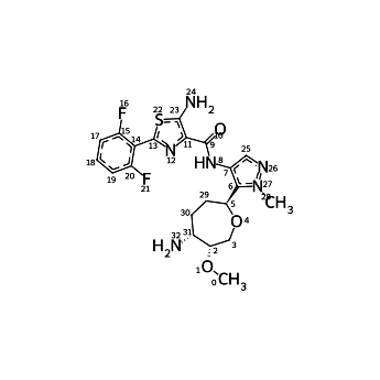 CO[C@H]1CO[C@H](c2c(NC(=O)c3nc(-c4c(F)cccc4F)sc3N)cnn2C)CC[C@H]1N